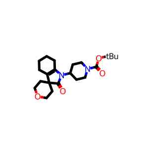 CC(C)(C)OC(=O)N1CCC(N2C(=O)C3(CCOCC3)C3=C2CCCC3)CC1